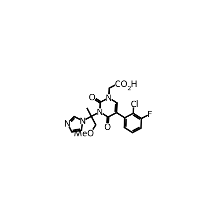 COCC(C)(n1ccnc1)n1c(=O)c(-c2cccc(F)c2Cl)cn(CC(=O)O)c1=O